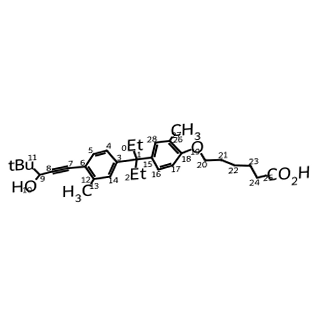 CCC(CC)(c1ccc(C#CC(O)C(C)(C)C)c(C)c1)c1ccc(OCCCCCC(=O)O)c(C)c1